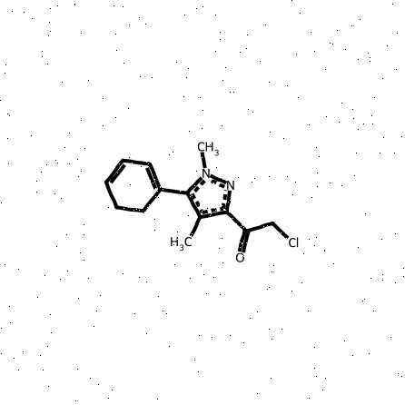 Cc1c(C(=O)CCl)nn(C)c1C1=CC=CCC1